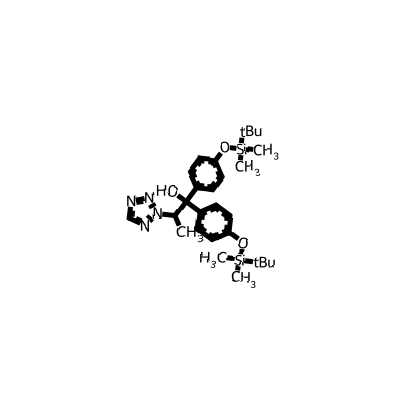 CC(n1ncnn1)C(O)(c1ccc(O[Si](C)(C)C(C)(C)C)cc1)c1ccc(O[Si](C)(C)C(C)(C)C)cc1